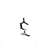 CNS/C=C\C(C)C